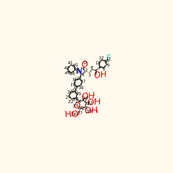 O=C1[C@H](CCC(O)c2ccc(F)cc2)[C@@H](c2ccc(-c3cccc([C@@H]4O[C@H](CO)[C@@H](O)[C@H](O)[C@H]4O)c3)cc2)N1c1ccccc1